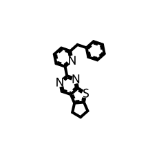 c1ccc(Cc2cccc(-c3ncc4c5c(sc4n3)CCC5)n2)cc1